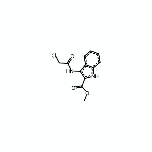 COC(=O)c1[nH]c2ccccc2c1NC(=O)CCl